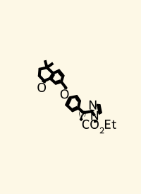 CCOC(=O)C[C@@H](c1ccc(OCc2ccc3c(c2)C(=O)CCC3(C)C)cc1)c1nccn1C